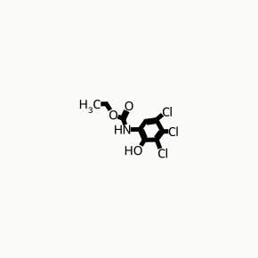 CCOC(=O)Nc1cc(Cl)c(Cl)c(Cl)c1O